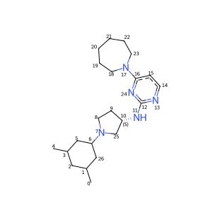 CC1CC(C)CC(N2CC[C@H](Nc3nccc(N4CCCCCC4)n3)C2)C1